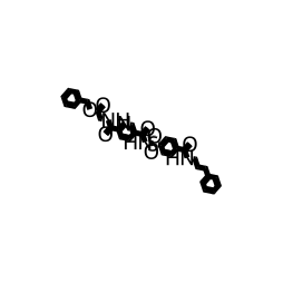 O=C(CNC(=O)c1ccc(C(=O)NS(=O)(=O)c2ccc(C(=O)NCCCc3ccccc3)cc2)cn1)OCc1ccccc1